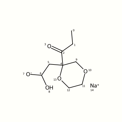 CCC(=O)C1(CC([O-])O)COCCO1.[Na+]